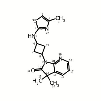 Cc1csc(NC2CC(N3C(=O)C(C)(C)c4cccnc43)C2)n1